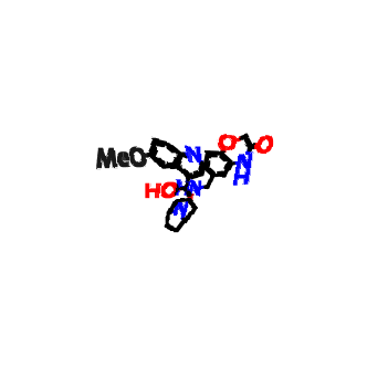 COc1ccc2nccc(C(O)CN3C4CCC3CC(NCc3ccc5c(c3)NC(=O)CO5)C4)c2c1